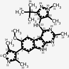 COc1cc2c(cc1-c1c(C)noc1C)[nH]c1nc(C)nc(Nc3c(C(C)(C)C)nn(C)c3C)c12